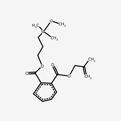 C=C(C)COC(=O)c1ccccc1C(=O)OCCC[Si](C)(C)OC